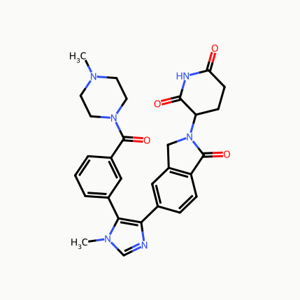 CN1CCN(C(=O)c2cccc(-c3c(-c4ccc5c(c4)CN(C4CCC(=O)NC4=O)C5=O)ncn3C)c2)CC1